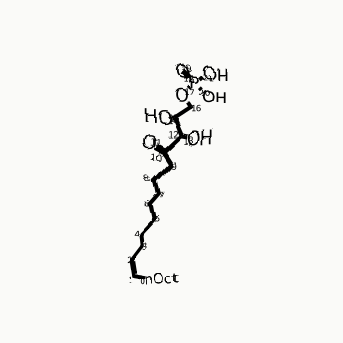 CCCCCCCC/C=C\CCCCCCCC(=O)C(O)C(O)COP(=O)(O)O